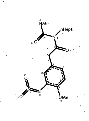 CCCCCCCN(C(=O)Cc1ccc(OC)c(N=S(=O)=O)c1)C(=O)NC